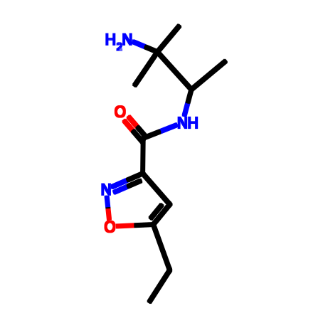 CCc1cc(C(=O)NC(C)C(C)(C)N)no1